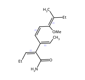 C/C=C(\C=C/C(OC)=C(\C)CC)C(=C/CC)/C(N)=O